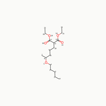 CCCCCOC(C)CCCC(C(=O)OCC)C(=O)OCC